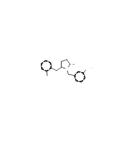 COc1cccc(CN2C(Cc3ccccc3Cl)CC[C@H]2C(=O)O)c1